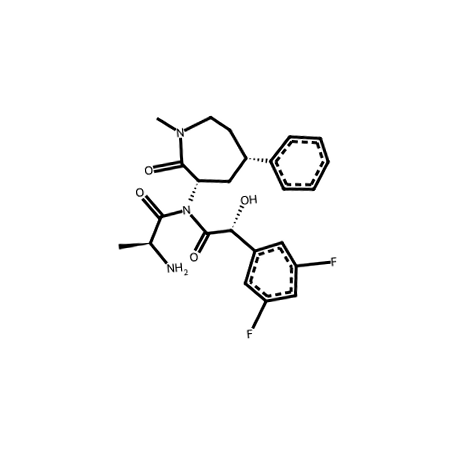 C[C@H](N)C(=O)N(C(=O)[C@H](O)c1cc(F)cc(F)c1)[C@H]1C[C@@H](c2ccccc2)CCN(C)C1=O